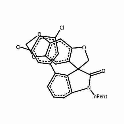 CCCCCN1C(=O)C2(COc3cc4c(cc32)OCO4)c2c(-c3cc(Cl)cc(Cl)c3)cccc21